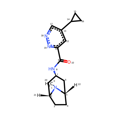 CN1[C@@H]2CC[C@H]1C[C@H](NC(=O)c1cc(C3CC3)cnn1)C2